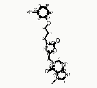 Cn1cnc2ncn(Cc3nn(CCCOc4cccc(F)c4)c(=O)o3)c(=O)c21